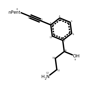 CCCCCC#Cc1cccc(C(O)CCN)c1